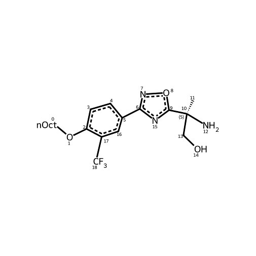 CCCCCCCCOc1ccc(-c2noc([C@@](C)(N)CO)n2)cc1C(F)(F)F